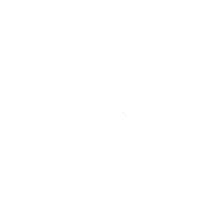 C#CCCNCC=C